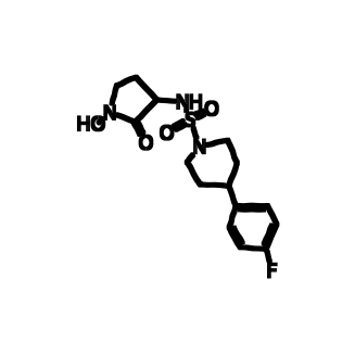 O=C1C(NS(=O)(=O)N2CCC(c3ccc(F)cc3)CC2)CCN1O